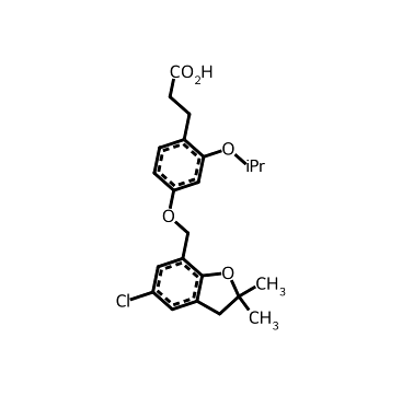 CC(C)Oc1cc(OCc2cc(Cl)cc3c2OC(C)(C)C3)ccc1CCC(=O)O